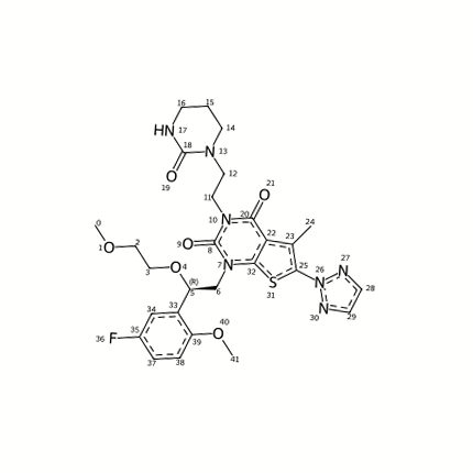 COCCO[C@@H](Cn1c(=O)n(CCN2CCCNC2=O)c(=O)c2c(C)c(-n3nccn3)sc21)c1cc(F)ccc1OC